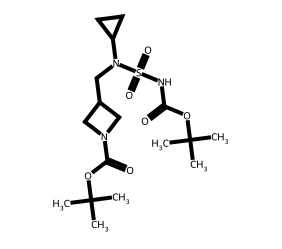 CC(C)(C)OC(=O)NS(=O)(=O)N(CC1CN(C(=O)OC(C)(C)C)C1)C1CC1